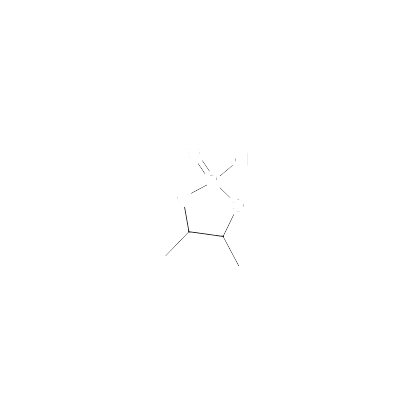 CC1OP(=O)(Cl)OC1C